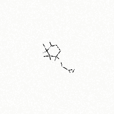 ClC1CCC(Cl)(OCC2CO2)C(Cl)(Cl)C1(Cl)Cl